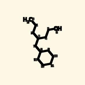 CCCC(CCO)CC1CCCCC1